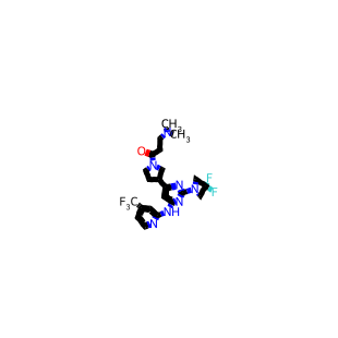 CN(C)CCC(=O)N1CCC(c2cc(Nc3cc(C(F)(F)F)ccn3)nc(N3CC(F)(F)C3)n2)C1